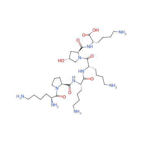 NCCCC[C@H](NC(=O)[C@@H]1C[C@@H](O)CN1C(=O)[C@H](CCCCN)NC(=O)[C@H](CCCCN)NC(=O)[C@@H]1CCCN1C(=O)[C@@H](N)CCCCN)C(=O)O